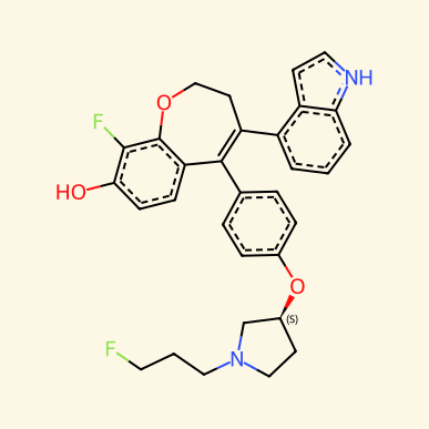 Oc1ccc2c(c1F)OCCC(c1cccc3[nH]ccc13)=C2c1ccc(O[C@H]2CCN(CCCF)C2)cc1